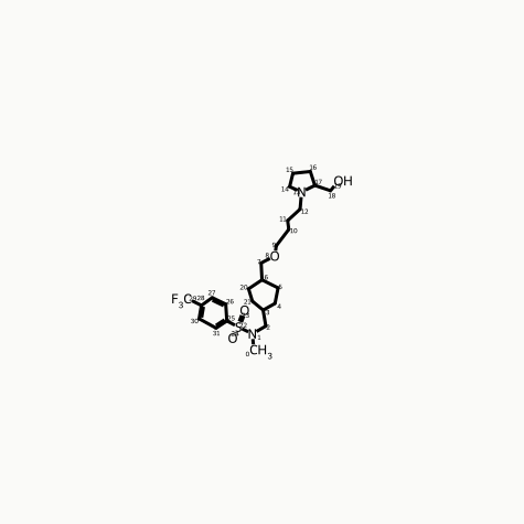 CN(CC1CCC(COCCCCN2CCCC2CO)CC1)S(=O)(=O)c1ccc(C(F)(F)F)cc1